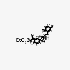 CCOC(=O)c1oc2ccc(S(=O)(=O)NCCc3cc(C)ccc3F)cc2c1C